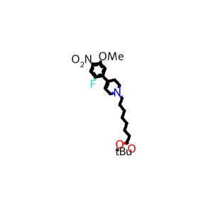 COc1cc(C2=CCN(CCCCCCCC(=O)OC(C)(C)C)CC2)c(F)cc1[N+](=O)[O-]